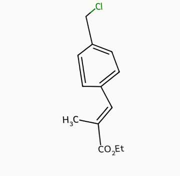 CCOC(=O)C(C)=Cc1ccc(CCl)cc1